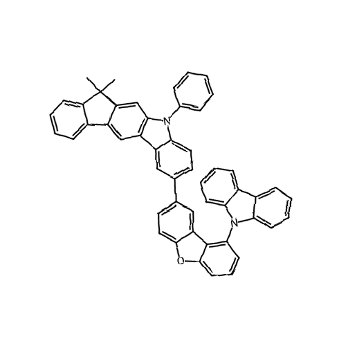 CC1(C)c2ccccc2-c2cc3c4cc(-c5ccc6oc7cccc(-n8c9ccccc9c9ccccc98)c7c6c5)ccc4n(-c4ccccc4)c3cc21